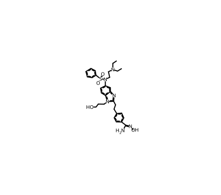 CCN(CC)CCN(c1ccc2c(c1)nc(CCc1ccc(C(N)=NO)cc1)n2CCCO)S(=O)(=O)c1ccccc1